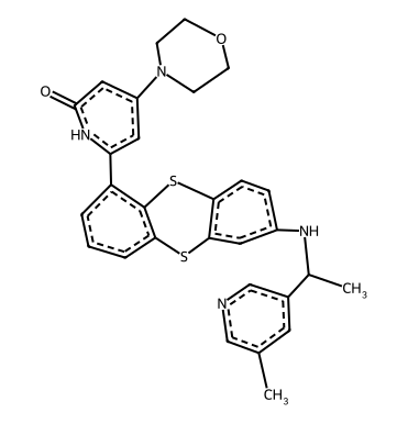 Cc1cncc(C(C)Nc2ccc3c(c2)Sc2cccc(-c4cc(N5CCOCC5)cc(=O)[nH]4)c2S3)c1